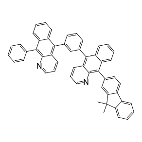 CC1(C)c2ccccc2-c2ccc(-c3c4ccccc4c(-c4cccc(-c5c6ccccc6c(-c6ccccc6)c6ncccc56)c4)c4cccnc34)cc21